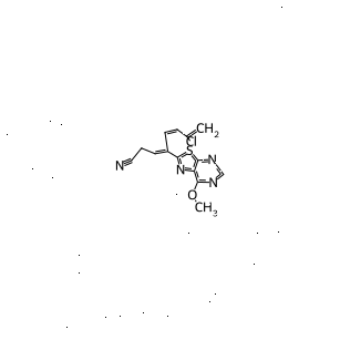 C=C(Cl)/C=C\C(=C/CC#N)c1nc2c(OC)ncnc2s1